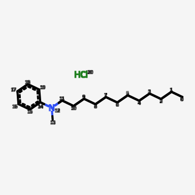 CCCCCCCCCCCCN(C)c1ccccc1.Cl